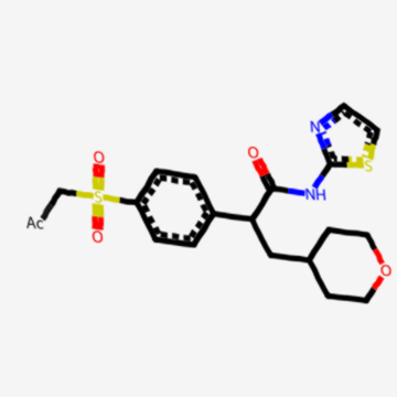 CC(=O)CS(=O)(=O)c1ccc(C(CC2CCOCC2)C(=O)Nc2nccs2)cc1